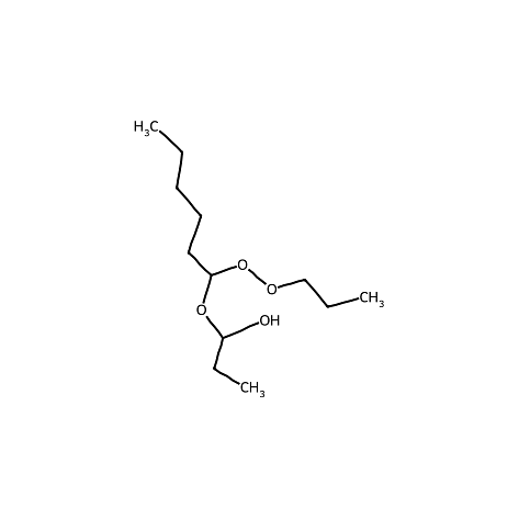 CCCCCC(OOCCC)OC(O)CC